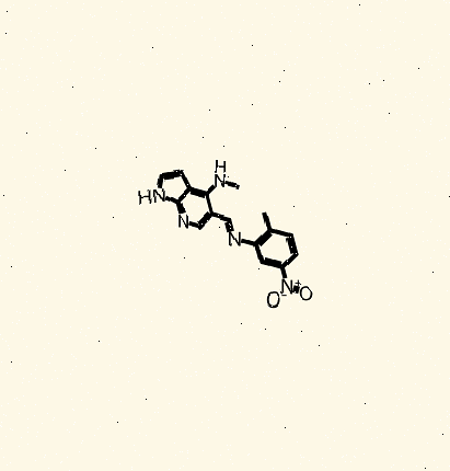 CNc1c(/C=N/c2cc([N+](=O)[O-])ccc2C)cnc2[nH]ccc12